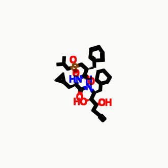 C#CC[C@H](O)[C@H](O)[C@H](CC1CCCCC1)NC(=O)[C@@H](CC1CC1)NC(=O)[C@@H](Cc1ccccc1)CS(=O)(=O)CC(C)C